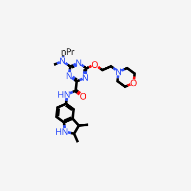 CCCN(C)c1nc(OCCN2CCOCC2)nc(C(=O)Nc2ccc3c(c2)C(C)C(C)N3)n1